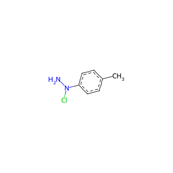 Cc1ccc(N(N)Cl)cc1